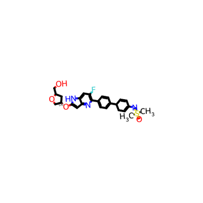 CS(C)(=O)=NC1=CCC(c2ccc(-c3nc4cc(O[C@@H]5COC(CO)C5)[nH]c4cc3F)cc2)C=C1